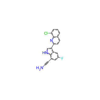 NC#Cc1cc(F)cc2c(-c3ccc4cccc(Cl)c4n3)c[nH]c12